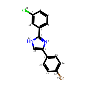 Clc1cccc(-c2nc(-c3ccc(Br)cc3)c[nH]2)c1